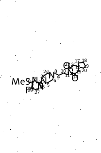 CSc1nc(N2CCN(CCCCN3C(=O)CC4(CCCC4)CC3=O)CC2)ncc1F